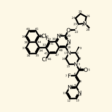 C[C@H]1CN(C(=O)/C(F)=C/c2ncccn2)CCN1c1nc(OC[C@@H]2CCCN2C)nc2c(F)c(-c3cccc4cccc(Cl)c34)c(Cl)cc12